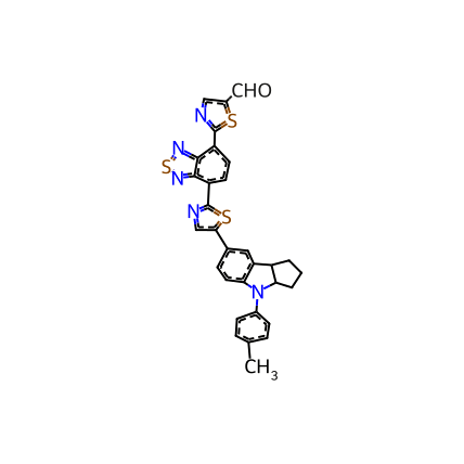 Cc1ccc(N2c3ccc(-c4cnc(-c5ccc(-c6ncc(C=O)s6)c6nsnc56)s4)cc3C3CCCC32)cc1